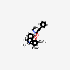 COc1cc(OC(C)=O)c2c3c1O[C@H]1[C@@H](N(CC(C)C)C(=O)C#Cc4ccccc4)CC[C@H]4[C@@H](C2)N(C)CC[C@@]341